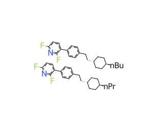 CCCC[C@H]1CC[C@H](CCc2ccc(-c3ccc(F)nc3F)cc2)CC1.CCC[C@H]1CC[C@H](CCc2ccc(-c3ccc(F)nc3F)cc2)CC1